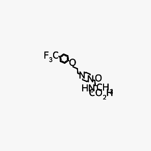 C[C@@H](NC(=O)O)C(=O)N1CCN(CCCOc2ccc(C(F)(F)F)cc2)CC1